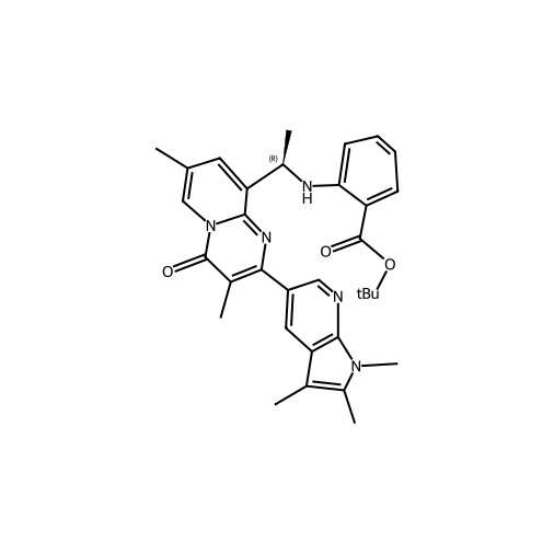 Cc1cc([C@@H](C)Nc2ccccc2C(=O)OC(C)(C)C)c2nc(-c3cnc4c(c3)c(C)c(C)n4C)c(C)c(=O)n2c1